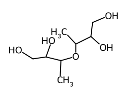 CC(OC(C)C(O)CO)C(O)CO